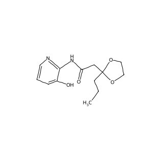 CCCC1(CC(=O)Nc2ncccc2O)OCCO1